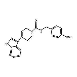 COc1ccc(CNC(=O)N2CC=C(c3c[nH]c4ncccc34)CC2)cc1